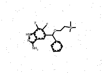 C[Si](C)(C)CCOC(c1ccccc1)c1cc2c(N)n[nH]c2c(F)c1F